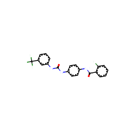 O=C(Nc1ccc(NC(=O)c2ccccc2F)cc1)Nc1cccc(C(F)(F)F)c1